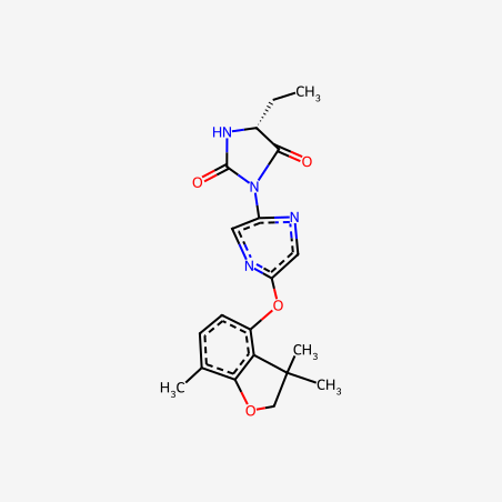 CC[C@H]1NC(=O)N(c2cnc(Oc3ccc(C)c4c3C(C)(C)CO4)cn2)C1=O